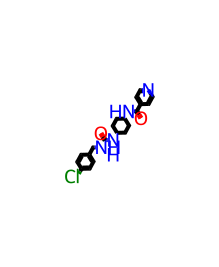 O=C(NCc1ccc(Cl)cc1)NC1CCC(NC(=O)c2ccncc2)CC1